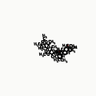 CCC1O[C@H](OC(=O)[C@]23CCC(C)(C)C[C@H]2C2=CC[C@@H]4[C@@]5(C)CC[C@H](O)C(C)(C)[C@@H]5CC[C@@]4(C)[C@]2(C)CC3O)[C@H](C)C(OC(C)=O)[C@H]1O[C@@H]1OC(CC)[C@H](OC(C)=O)C(OC(C)=O)[C@H]1C